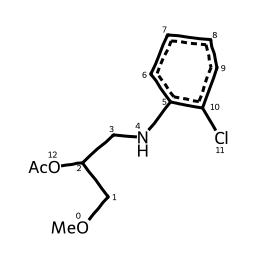 COCC(CNc1ccccc1Cl)OC(C)=O